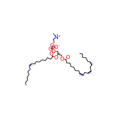 CCCCC/C=C\C/C=C\C/C=C\CCCCCCC(=O)OC[C@H](COP(=O)([O-])OCC[N+](C)(C)C)OC(=O)CCCCCCC/C=C\CCCCCCC